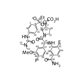 CCS(=O)(=O)c1ccc(NC(=O)N(C)C)cc1[C@@H]1[C@@H](OC(=O)O)CCN1C(=O)[C@@H](Nc1cc(C(N)=O)ccc1F)c1ccc(F)c(OC)c1